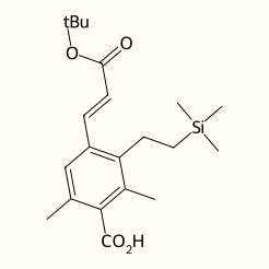 Cc1cc(C=CC(=O)OC(C)(C)C)c(CC[Si](C)(C)C)c(C)c1C(=O)O